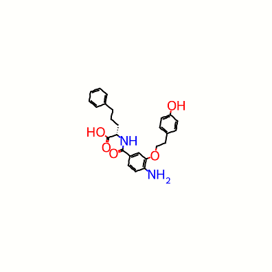 Nc1ccc(C(=O)N[C@@H](CCCc2ccccc2)C(=O)O)cc1OCCc1ccc(O)cc1